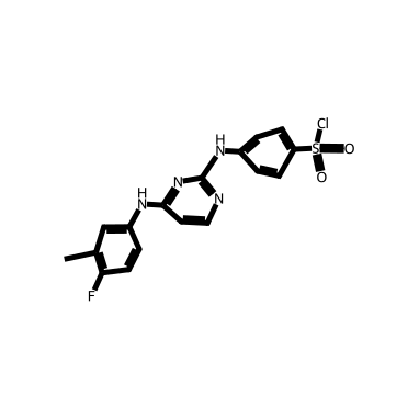 Cc1cc(Nc2ccnc(Nc3ccc(S(=O)(=O)Cl)cc3)n2)ccc1F